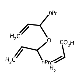 C=CC(=O)O.C=CC(CCC)OC(C=C)CCC